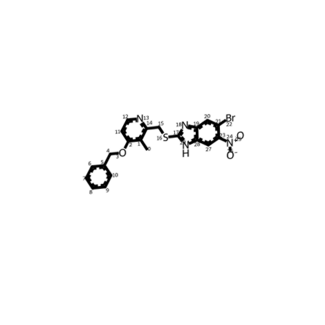 Cc1c(OCc2ccccc2)ccnc1CSc1nc2cc(Br)c([N+](=O)[O-])cc2[nH]1